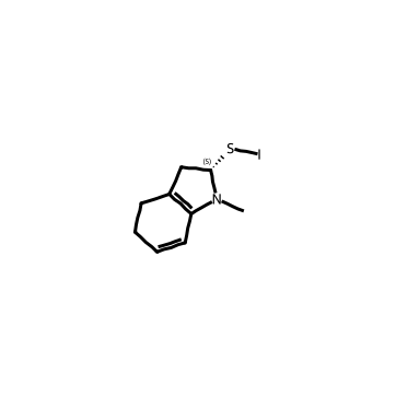 CN1C2=C(CCC=C2)C[C@@H]1SI